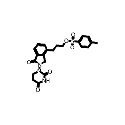 Cc1ccc(S(=O)(=O)OCCCc2cccc3c2CN(N2CCC(=O)NC2=O)C3=O)cc1